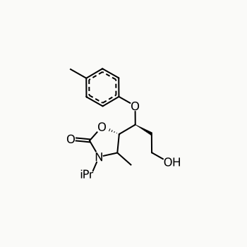 Cc1ccc(O[C@@H](CCO)[C@H]2OC(=O)N(C(C)C)C2C)cc1